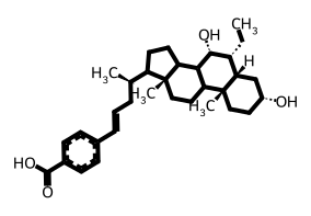 CC[C@H]1[C@@H](O)C2C3CCC([C@H](C)C/C=C/c4ccc(C(=O)O)cc4)[C@@]3(C)CCC2[C@@]2(C)CC[C@@H](O)C[C@@H]12